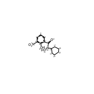 O=C(c1cccc([N+](=O)[O-])c1O)N(O)C1CCCCC1